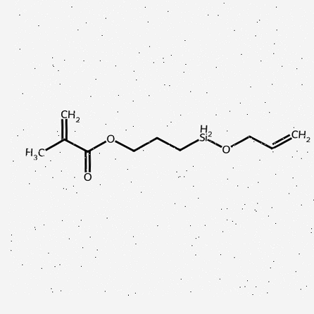 C=CCO[SiH2]CCCOC(=O)C(=C)C